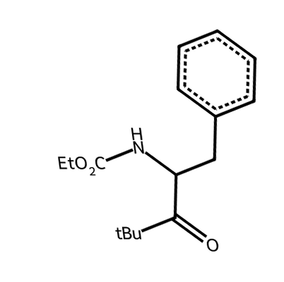 CCOC(=O)NC(Cc1ccccc1)C(=O)C(C)(C)C